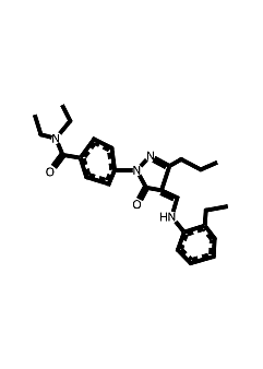 CCCC1=NN(c2ccc(C(=O)N(CC)CC)cc2)C(=O)C1=CNc1ccccc1CC